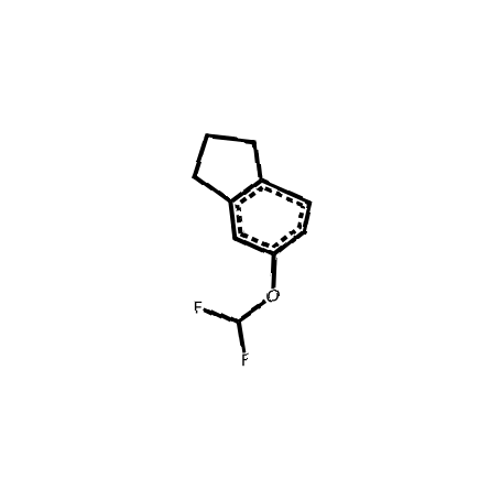 FC(F)Oc1ccc2c(c1)CCC2